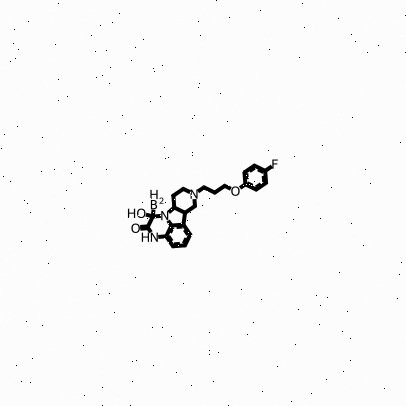 BC1(O)C(=O)Nc2cccc3c2N1C1CCN(CCCOc2ccc(F)cc2)CC31